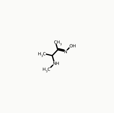 CNC(C)/C(C)=N/O